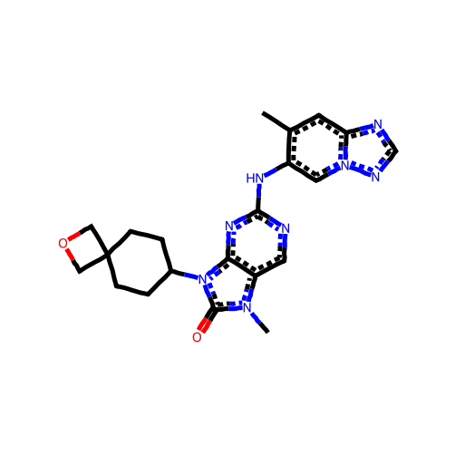 Cc1cc2ncnn2cc1Nc1ncc2c(n1)n(C1CCC3(CC1)COC3)c(=O)n2C